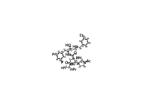 CCCC(CCC)S(=O)(=O)C[C@@](N)(C(=O)N[C@@H](Cc1cc(F)cc(F)c1)[C@H](O)CNCc1cccc(CC)c1)C(=O)[C@@H]1CCN(C(C)=O)C1